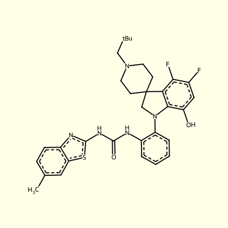 Cc1ccc2nc(NC(=O)Nc3ccccc3N3CC4(CCN(CC(C)(C)C)CC4)c4c(F)c(F)cc(O)c43)sc2c1